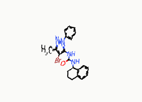 Cc1nn(-c2ccccc2)c(NC(=O)NC2CCCc3ccccc32)c1Br